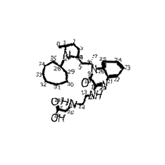 CC1CC[C@@H](C[C@H](C)n2c(=O)c(NCCNCC(=O)O)nc3ccccc32)N1C1CCCCCCC1